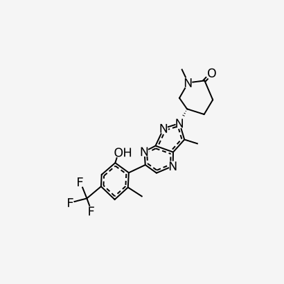 Cc1cc(C(F)(F)F)cc(O)c1-c1cnc2c(C)n([C@H]3CCC(=O)N(C)C3)nc2n1